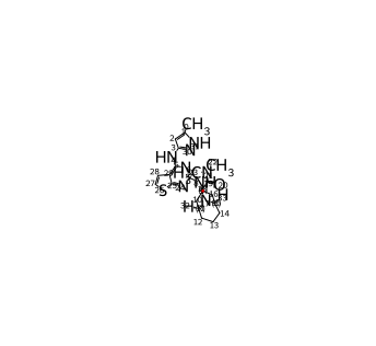 Cc1cc(Nc2nc(N[C@@H]3C[C@H]4CCC[C@@H](C3)N4CC(=O)N(C)C)nc3sccc23)n[nH]1